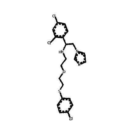 Clc1ccc(SCCOCCNC(Cn2ccnc2)c2ccc(Cl)cc2Cl)cc1